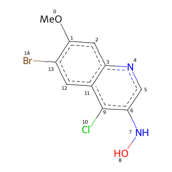 COc1cc2ncc(NO)c(Cl)c2cc1Br